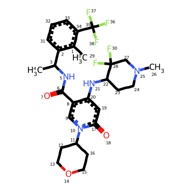 Cc1c(C(C)NC(=O)c2cn(C3CCOCC3)c(=O)cc2NC2CCN(C)CC2(F)F)cccc1C(F)(F)F